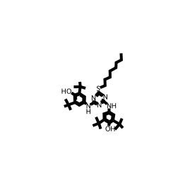 CCCCCCCCSc1nc(Nc2cc(C(C)(C)C)c(O)c(C(C)(C)C)c2)nc(Nc2cc(C(C)(C)C)c(O)c(C(C)(C)C)c2)n1